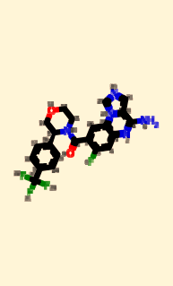 Nc1nc2cc(F)c(C(=O)N3CCOC[C@@H]3c3ccc(C(F)(F)F)cc3)cc2n2cncc12